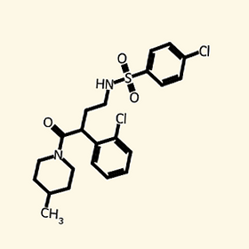 CC1CCN(C(=O)C(CCNS(=O)(=O)c2ccc(Cl)cc2)c2ccccc2Cl)CC1